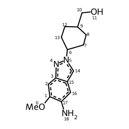 COc1cc2nn(C3CCC(CO)CC3)cc2cc1N